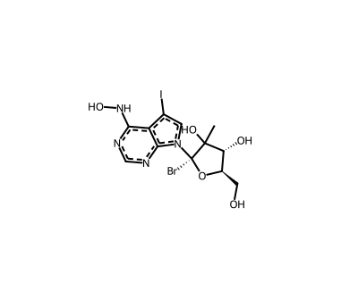 CC1(O)[C@H](O)[C@@H](CO)O[C@@]1(Br)n1cc(I)c2c(NO)ncnc21